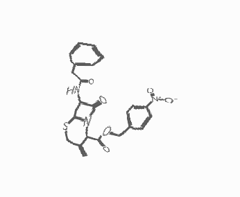 C=C1CSC2C(NC(=O)Cc3ccccc3)C(=O)N2C1C(=O)OCc1ccc([N+](=O)[O-])cc1